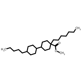 CCCCCCCC1(C(=O)OC)CCC(C2CCC(CCCCC)CC2)CC1